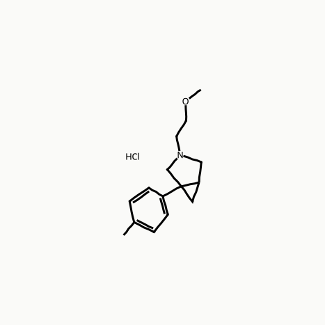 COCCN1CC2CC2(c2ccc(C)cc2)C1.Cl